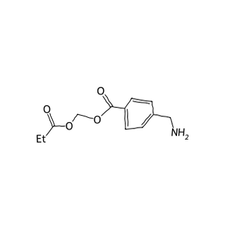 CCC(=O)OCOC(=O)c1ccc(CN)cc1